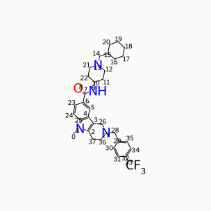 Cn1c2c(c3cc(C(=O)NC4CCN(CC5CCCCC5)CC4)ccc31)CN(Cc1ccc(C(F)(F)F)cc1)CC2